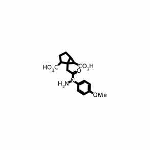 COc1ccc(N(N)C(=O)CC23C(C(=O)O)CCC2C3C(=O)O)cc1